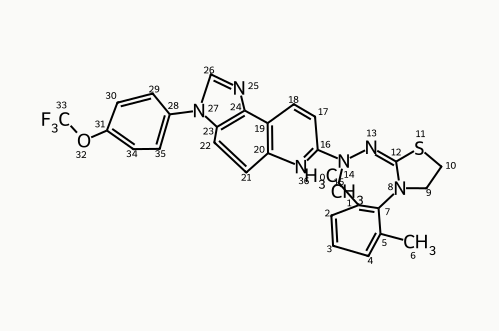 Cc1cccc(C)c1N1CCS/C1=N/N(C)c1ccc2c(ccc3c2ncn3-c2ccc(OC(F)(F)F)cc2)n1